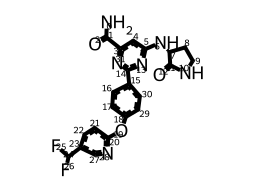 NC(=O)c1cc(N[C@H]2CCNC2=O)nc(-c2ccc(Oc3ccc(C(F)F)cn3)cc2)n1